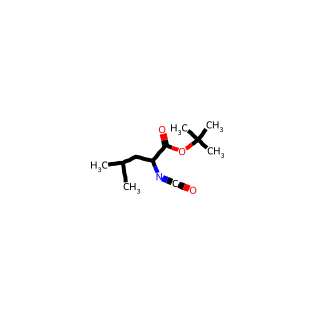 CC(C)CC(N=C=O)C(=O)OC(C)(C)C